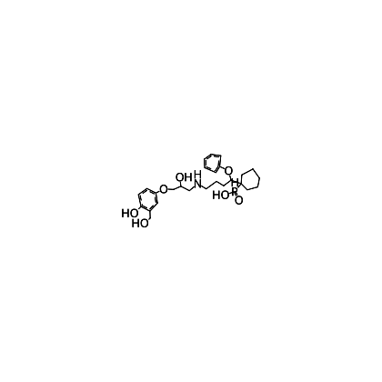 O=[PH](O)C1(C(CCCNCC(O)COc2ccc(O)c(CO)c2)Oc2ccccc2)CCCCC1